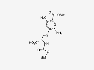 COC(=O)c1cc(N)c(SC[C@H](NC(=O)OC(C)(C)C)C(=O)O)cc1C